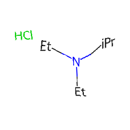 CCN(CC)C(C)C.Cl